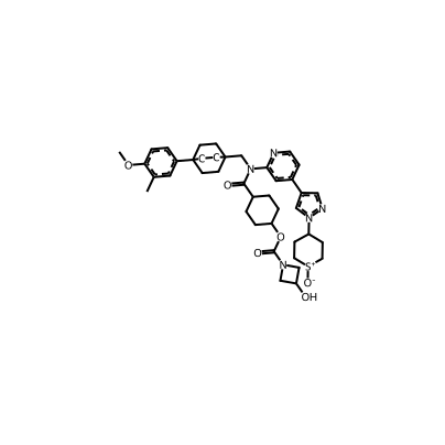 COc1ccc(C23CCC(CN(C(=O)C4CCC(OC(=O)N5CC(O)C5)CC4)c4cc(-c5cnn(C6CC[S+]([O-])CC6)c5)ccn4)(CC2)CC3)cc1C